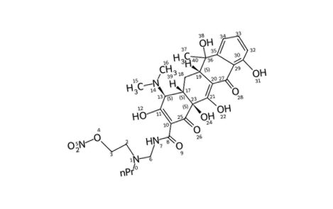 CCCN(CCO[N+](=O)[O-])CNC(=O)C1=C(O)[C@@H](N(C)C)[C@@H]2C[C@H]3C(=C(O)[C@]2(O)C1=O)C(=O)c1c(O)cccc1C3(C)O